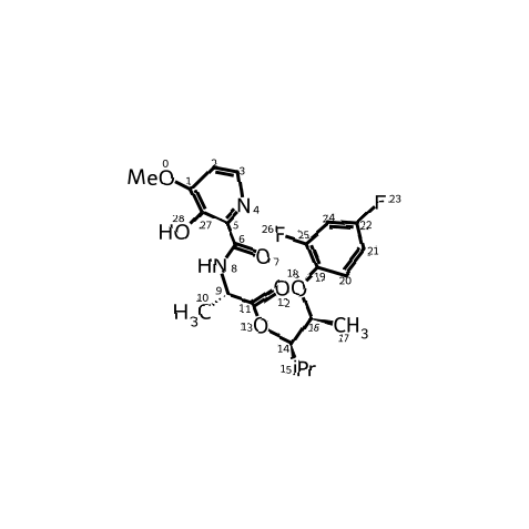 COc1ccnc(C(=O)N[C@@H](C)C(=O)O[C@H](C(C)C)[C@H](C)Oc2ccc(F)cc2F)c1O